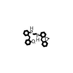 COc1ccccc1Cc1ccccc1PC=CPc1ccccc1Cc1ccccc1OC